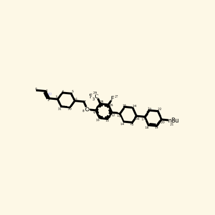 C/C=C/C1CCC(COc2ccc(C3CCC(C4C=CC(CCCC)CC4)CC3)c(F)c2C(F)(F)F)CC1